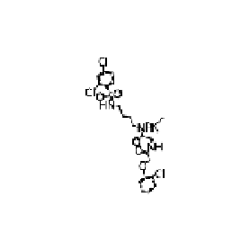 CC(C)C[C@H](NC(=O)COc1ccccc1Cl)C(=O)NCCCCNS(=O)(=O)c1ccc(Cl)cc1Cl